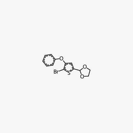 Brc1sc(C2OCCO2)cc1Oc1ccccc1